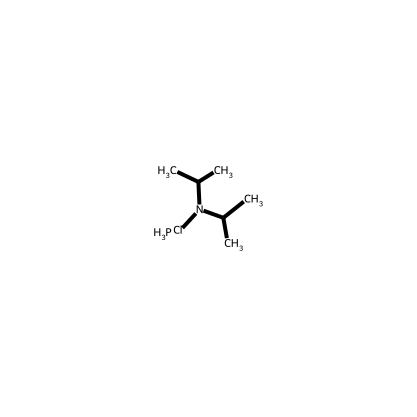 CC(C)N(Cl)C(C)C.P